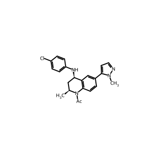 CC(=O)N1c2ccc(-c3ccnn3C)cc2[C@H](Nc2ccc(Cl)cc2)C[C@@H]1C